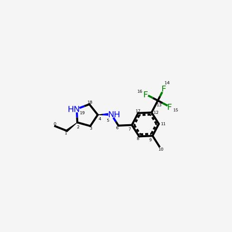 CC[C@@H]1C[C@H](NCc2cc(C)cc(C(F)(F)F)c2)CN1